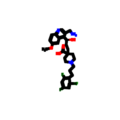 COc1ccc2ncc(CN)c([C@@H](O)CCC3(C(=O)O)CCN(CCCc4c(F)cc(F)cc4F)CC3)c2c1